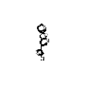 Clc1cc(-c2cnc3c(c2)C[C@@]2(CN4CCC2CC4)O3)cs1